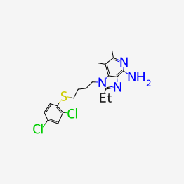 CCc1nc2c(N)nc(C)c(C)c2n1CCCCSc1ccc(Cl)cc1Cl